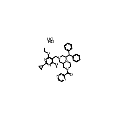 CCOc1nc(C2CC2)nc(OC)c1CN1CC2CN(C(=O)c3cnccn3)CCN2C(C(c2ccccc2)c2ccccc2)C1.Cl.Cl